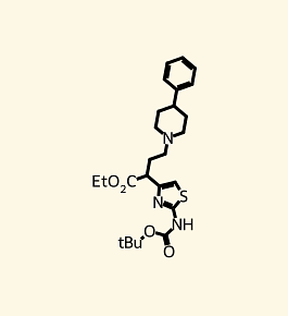 CCOC(=O)C(CCN1CCC(c2ccccc2)CC1)c1csc(NC(=O)OC(C)(C)C)n1